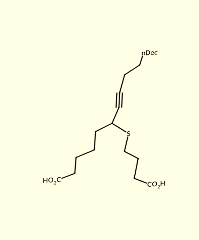 CCCCCCCCCCCCC#CC(CCCCC(=O)O)SCCCC(=O)O